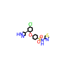 O=S(=O)(Nc1cscn1)c1ccc(Oc2ccc(Cl)cc2-c2cn[nH]c2)cc1